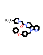 O=C(O)C1=CCN(CC(=O)N2CCc3c(n(Cc4ccc(Oc5ccccc5)cc4)c4ncccc34)C2)C=C1